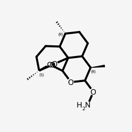 C[C@H]1C(ON)OC2O[C@]3(C)CCC4[C@H](C)CCC1C24OO3